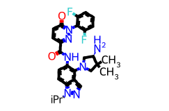 CC(C)n1ncc2c(N3C[C@H](N)C(C)(C)C3)c(NC(=O)c3ccc(=O)n(-c4c(F)cccc4F)n3)ccc21